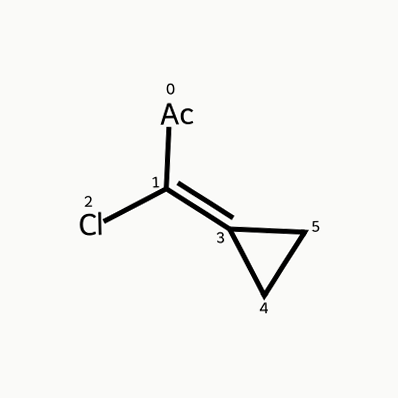 CC(=O)C(Cl)=C1CC1